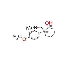 CNC[C@]1(c2ccc(OC(F)(F)F)cc2)CCCC[C@H]1O